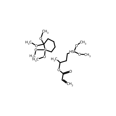 C=CC(=O)OC(C)CC[SiH](OC)OC.COC1(OC)CCCC[Si]1(OC)OC